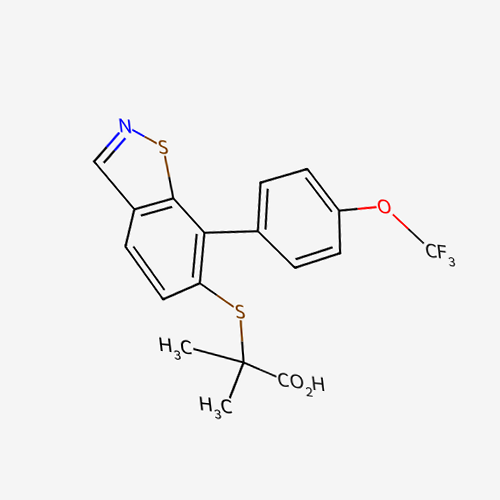 CC(C)(Sc1ccc2cnsc2c1-c1ccc(OC(F)(F)F)cc1)C(=O)O